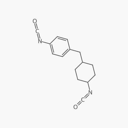 O=C=Nc1ccc(CC2CCC(N=C=O)CC2)cc1